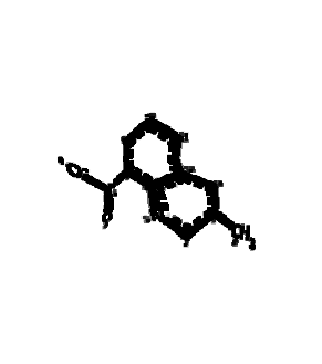 Cc1cnc2c([N+](=O)[O-])cccc2c1